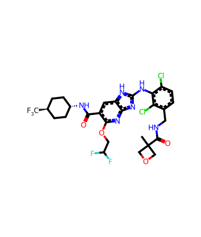 CC1(C(=O)NCc2ccc(Cl)c(Nc3nc4nc(OCC(F)F)c(C(=O)N[C@H]5CC[C@H](C(F)(F)F)CC5)cc4[nH]3)c2Cl)COC1